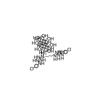 CCO.N=C(NCCCCCCNC(=N)NC(=N)Nc1ccc(Cl)cc1)NC(=N)Nc1ccc(Cl)cc1.O=C(O)[C@H](O)[C@@H](O)[C@H](O)[C@H](O)CO.O=C(O)[C@H](O)[C@@H](O)[C@H](O)[C@H](O)CO.OCCO